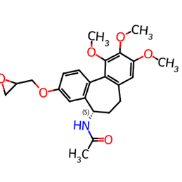 COc1cc2c(c(OC)c1OC)-c1ccc(OCC3CO3)cc1[C@@H](NC(C)=O)CC2